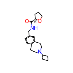 O=C(NCc1ccc2c(c1)CCN(C1CCC1)CC2)[C@H]1CCCO1